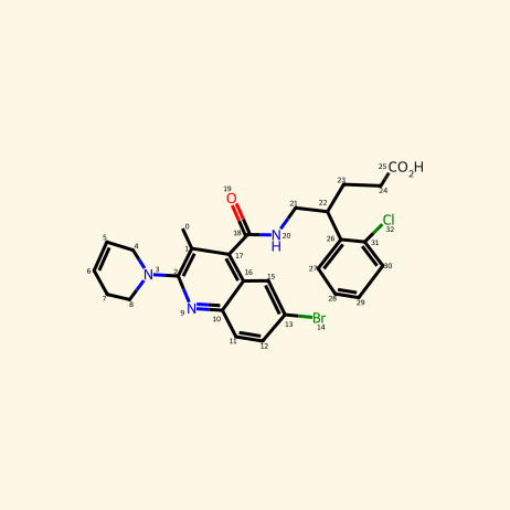 Cc1c(N2CC=CCC2)nc2ccc(Br)cc2c1C(=O)NCC(CCC(=O)O)c1ccccc1Cl